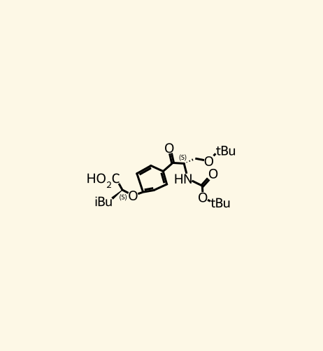 CCC(C)[C@H](Oc1ccc(C(=O)[C@H](COC(C)(C)C)NC(=O)OC(C)(C)C)cc1)C(=O)O